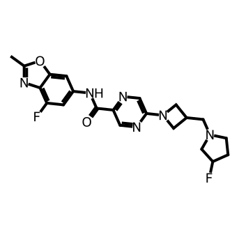 Cc1nc2c(F)cc(NC(=O)c3cnc(N4CC(CN5CCC(F)C5)C4)cn3)cc2o1